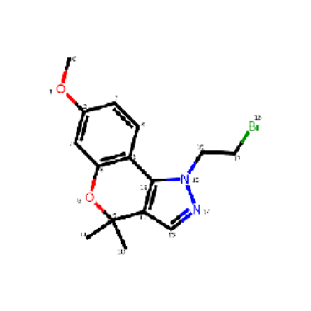 COc1ccc2c(c1)OC(C)(C)c1cnn(CCBr)c1-2